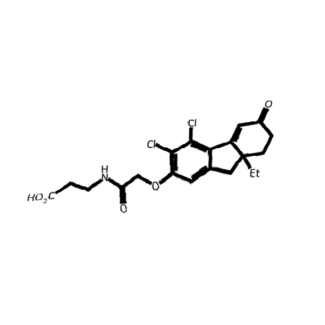 CCC12CCC(=O)C=C1c1c(cc(OCC(=O)NCCC(=O)O)c(Cl)c1Cl)C2